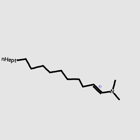 CCCCCCCCCCCCCCC/C=C/N(C)C